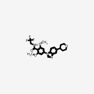 COc1cc(-n2cnc3cc(C4CCOCC4)ccc32)cc(OC)c1C(=O)NCC(F)(F)F